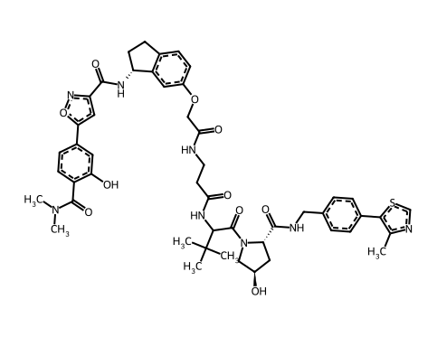 Cc1ncsc1-c1ccc(CNC(=O)[C@@H]2C[C@@H](O)CN2C(=O)C(NC(=O)CCNC(=O)COc2ccc3c(c2)[C@H](NC(=O)c2cc(-c4ccc(C(=O)N(C)C)c(O)c4)on2)CC3)C(C)(C)C)cc1